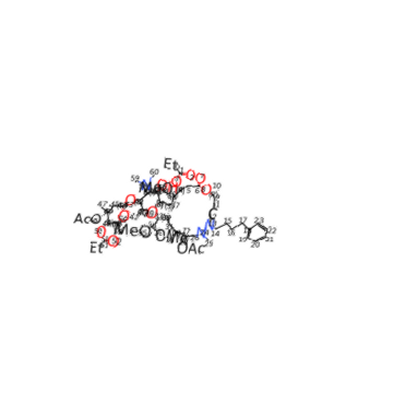 CCC(=O)O[C@@H]1CC(=O)O[C@H](C)CCN(CCCCc2ccccc2)N(C)C[C@H](OC(C)=O)[C@H](C)C[C@H](CC(OC)OC)[C@H]([C@@H]2O[C@H](C)[C@@H](O[C@@H]3C[C@@](C)(OC(C)=O)[C@@H](OC(=O)CC)[C@H](C)O3)[C@H](N(C)C)[C@H]2O)[C@@H]1OC